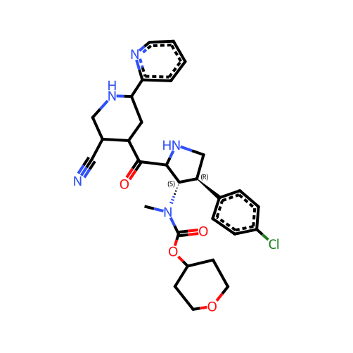 CN(C(=O)OC1CCOCC1)[C@@H]1C(C(=O)C2CC(c3ccccn3)NCC2C#N)NC[C@H]1c1ccc(Cl)cc1